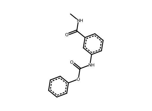 CNC(=O)c1cccc(NC(=O)Oc2ccccc2)c1